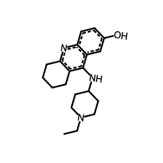 CCN1CCC(Nc2c3c(nc4ccc(O)cc24)CCCC3)CC1